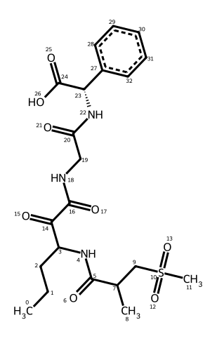 CCCC(NC(=O)C(C)CS(C)(=O)=O)C(=O)C(=O)NCC(=O)N[C@H](C(=O)O)c1ccccc1